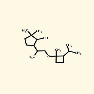 CC(C)C1CCC1(C)OCC(C)C1CCC(C)(C)C1O